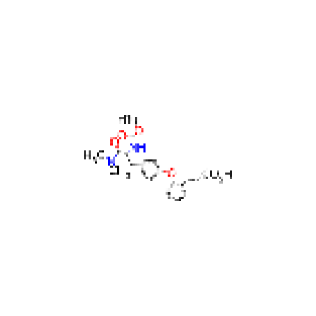 CN(C)C(=O)C(Cc1ccc(Oc2ccccc2CCC(=O)O)cc1)NC(=O)OC(C)(C)C